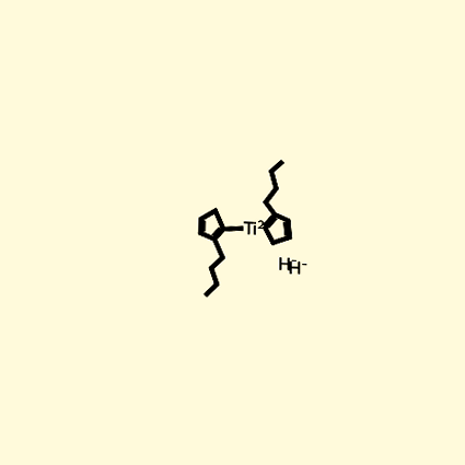 CCCCC1=[C]([Ti+2][C]2=C(CCCC)C=CC2)CC=C1.[H-].[H-]